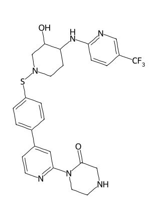 O=C1CNCCN1c1cc(-c2ccc(SN3CCC(Nc4ccc(C(F)(F)F)cn4)C(O)C3)cc2)ccn1